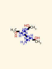 CC(O)CNc1nc(N)nc(-c2nc(NCC(C)O)nc(NCC(C)O)n2)n1